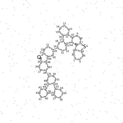 c1ccc2c(c1)sc1ccc3c4ccccc4c4cc(-c5ccc6oc7ccc(-c8ccc9c%10ccccc%10c%10ccccc%10c9c8)cc7c6c5)ccc4c3c12